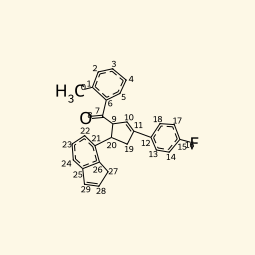 Cc1ccccc1C(=O)C1C=C(c2ccc(F)cc2)CC1c1cccc2c1CC=C2